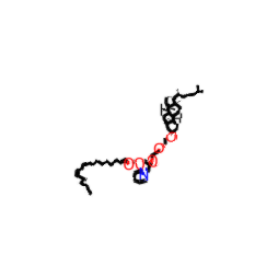 CCCCC/C=C\C/C=C\CCCCCCCCOCOCC(CN1CCCCC1)OCCOCCO[C@H]1CC[C@@]2(C)C(=CC[C@@H]3[C@@H]2CC[C@]2(C)[C@@H]([C@H](C)CCCC(C)C)CC[C@@]32C)C1